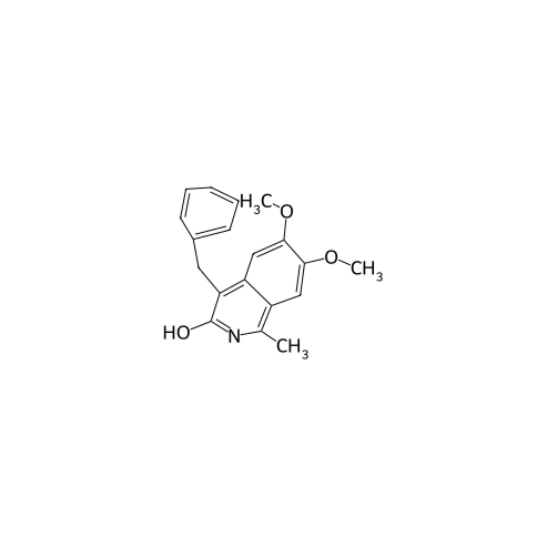 COc1cc2c(C)nc(O)c(Cc3ccccc3)c2cc1OC